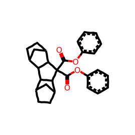 O=C(Oc1ccccc1)C1(C(=O)Oc2ccccc2)C2C3CCC(C3)C2C2C3CCC(C3)C21